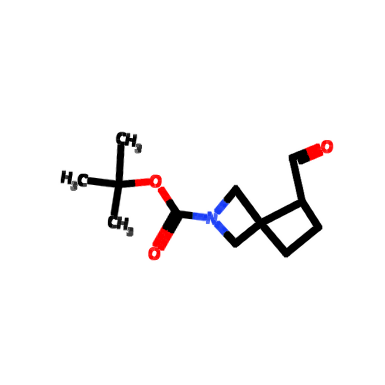 CC(C)(C)OC(=O)N1CC2(CCC2C=O)C1